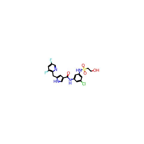 O=C(Nc1cc(Cl)cc(NS(=O)(=O)CCO)c1)c1c[nH]c(Cc2ncc(F)cc2F)c1